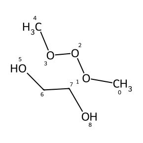 COOOC.OCCO